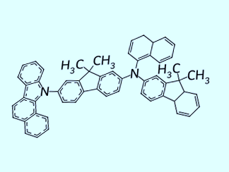 CC1(C)c2cc(N(C3=C4C=CC=CC4CC=C3)c3ccc4c(c3)C(C)(C)C3C=CC=CC43)ccc2-c2ccc(-n3c4ccccc4c4ccc5ccccc5c43)cc21